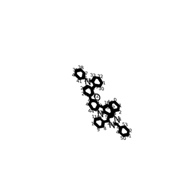 c1ccc(-c2cc(-c3ccccc3-n3c4ccccc4c4c5oc6c(ccc7c6c6ccccc6n7-c6ccccc6)c5ccc43)nc(-c3ccccc3)n2)cc1